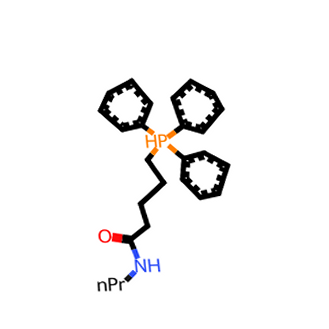 CCCNC(=O)CCCC[PH](c1ccccc1)(c1ccccc1)c1ccccc1